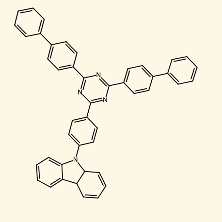 C1=CC2c3ccccc3N(c3ccc(-c4nc(-c5ccc(-c6ccccc6)cc5)nc(-c5ccc(-c6ccccc6)cc5)n4)cc3)C2C=C1